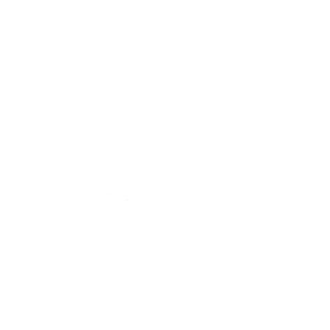 COc1cc(C)cc2oc(C(=O)O)cc(=O)c12